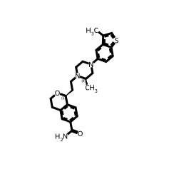 Cc1csc2ccc(N3CCN(CC[C@@H]4OCCc5cc(C(N)=O)ccc54)[C@H](C)C3)cc12